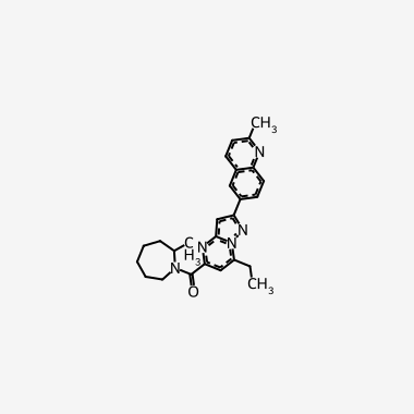 CCc1cc(C(=O)N2CCCCCC2C)nc2cc(-c3ccc4nc(C)ccc4c3)nn12